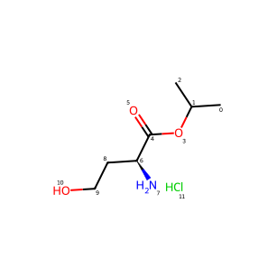 CC(C)OC(=O)[C@@H](N)CCO.Cl